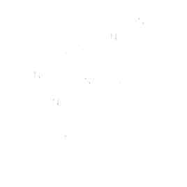 Cc1cnc(C(=O)N[C@H]2COc3cccnc3N(C)C2=O)nc1-c1ccccc1